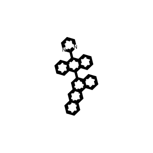 c1cnc(-c2c3ccccc3c(-c3cc4cc5ccccc5cc4c4ccccc34)c3ccccc23)nc1